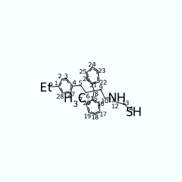 CCc1ccc(C[C@@H](C)C(CCNCCS)(c2ccccc2)c2ccccc2)cc1